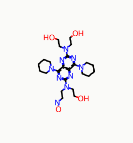 O=NCCN(CCO)c1nc(N2CCCCC2)c2nc(N(CCO)CCO)nc(N3CCCCC3)c2n1